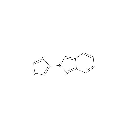 c1ccc2nn(-c3cscn3)cc2c1